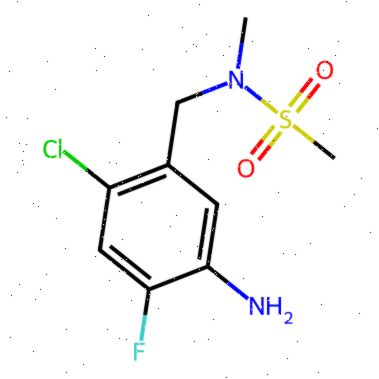 CN(Cc1cc(N)c(F)cc1Cl)S(C)(=O)=O